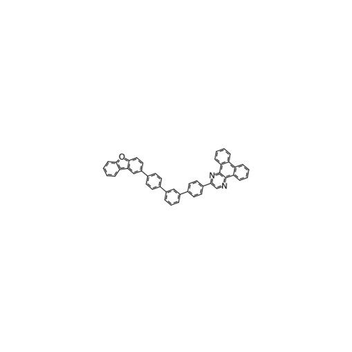 c1cc(-c2ccc(-c3ccc4oc5ccccc5c4c3)cc2)cc(-c2ccc(-c3cnc4c5ccccc5c5ccccc5c4n3)cc2)c1